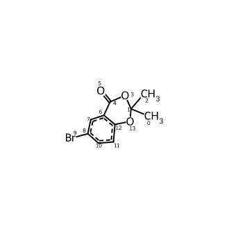 CC1(C)OC(=O)c2cc(Br)ccc2O1